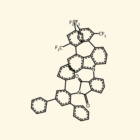 O=C1c2cccc(-n3c4cccc(-c5ccc(C(F)(F)F)cc5C(F)(F)F)c4c4c(-c5ccc(C(F)(F)F)cc5C(F)(F)F)cccc43)c2C(=O)N1c1c(-c2ccccc2)cc(-c2ccccc2)cc1-c1ccccc1